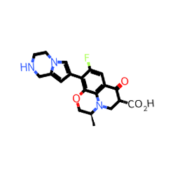 C[C@H]1COc2c(-c3cc4n(c3)CCNC4)c(F)cc3c2N1CC(C(=O)O)C3=O